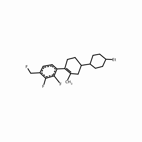 CCC1CCC(C2CCC(c3ccc(CF)c(F)c3F)=C(C)C2)CC1